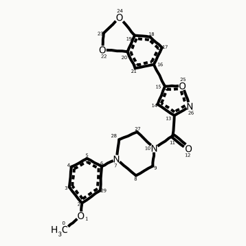 COc1cccc(N2CCN(C(=O)c3cc(-c4ccc5c(c4)OCO5)on3)CC2)c1